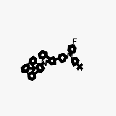 CC(C)(C)c1ccc(N(c2ccc(F)cc2)c2ccc(-c3ccc4c(c3)c3ccccc3n4-c3ccc4c(c3)C(c3ccccc3)(c3ccccc3)c3ccccc3-4)cc2)cc1